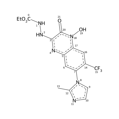 CCOC(=O)NNc1nc2cc(-n3ccnc3C)c(C(F)(F)F)cc2n(O)c1=O